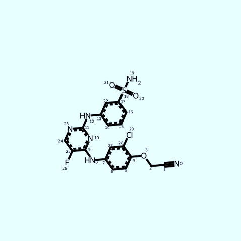 N#CCOc1ccc(Nc2nc(Nc3cccc(S(N)(=O)=O)c3)ncc2F)cc1Cl